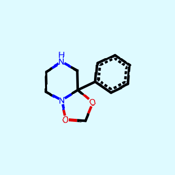 c1ccc(C23CNCCN2OCO3)cc1